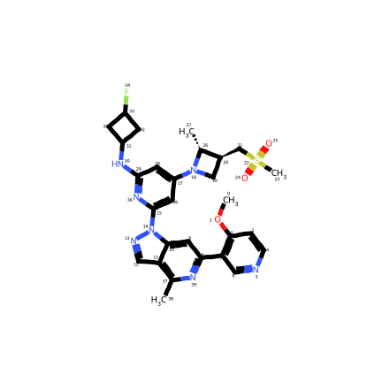 COc1ccncc1-c1cc2c(cnn2-c2cc(N3C[C@H](CS(C)(=O)=O)[C@H]3C)cc(NC3CC(F)C3)n2)c(C)n1